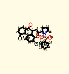 COc1cccc(C(=O)C(CC(=O)c2cccn2S(=O)(=O)c2ccccc2)c2cccc(OC)c2)c1